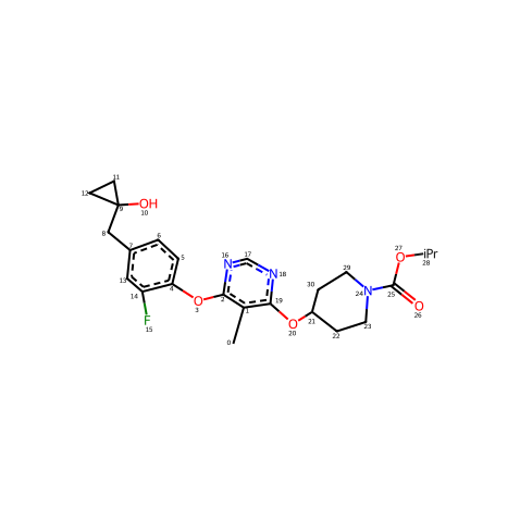 Cc1c(Oc2ccc(CC3(O)CC3)cc2F)ncnc1OC1CCN(C(=O)OC(C)C)CC1